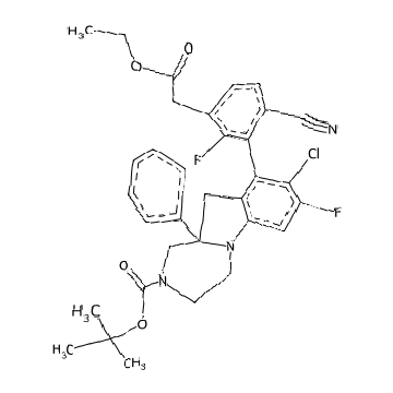 CCOC(=O)Cc1ccc(C#N)c(-c2c(Cl)c(F)cc3c2CC2(c4ccccc4)CN(C(=O)OC(C)(C)C)CCN32)c1F